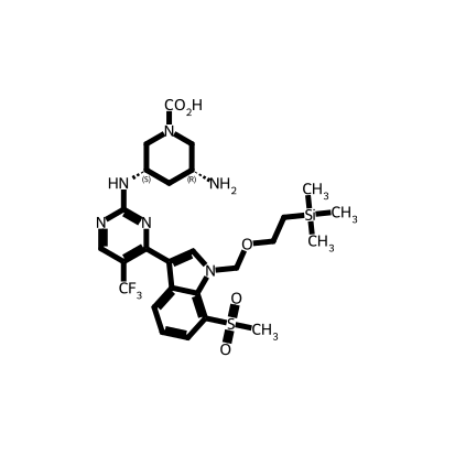 C[Si](C)(C)CCOCn1cc(-c2nc(N[C@H]3C[C@@H](N)CN(C(=O)O)C3)ncc2C(F)(F)F)c2cccc(S(C)(=O)=O)c21